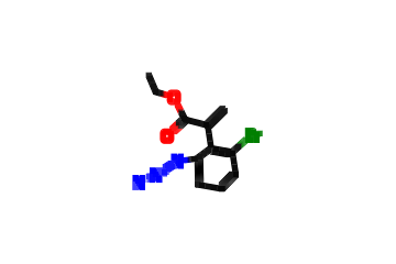 C=C(C(=O)OCC)c1c(Br)cccc1N=[N+]=[N-]